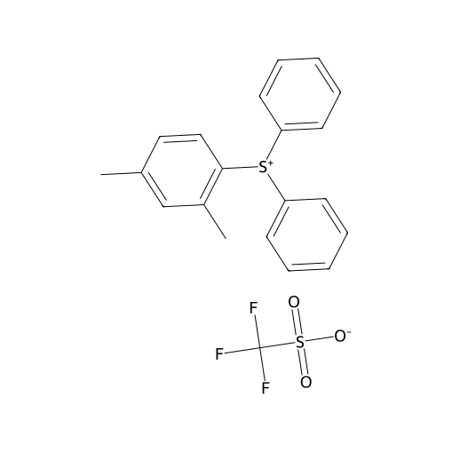 Cc1ccc([S+](c2ccccc2)c2ccccc2)c(C)c1.O=S(=O)([O-])C(F)(F)F